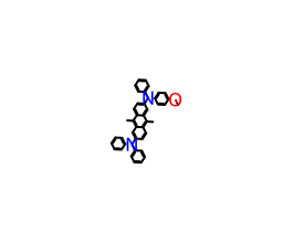 COc1ccc(N(c2ccccc2)c2ccc3c(C)c4cc(N(c5ccccc5)c5ccccc5)ccc4c(C)c3c2)cc1